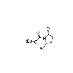 CC(=O)C1CCC(=O)N1C(=O)OC(C)(C)C